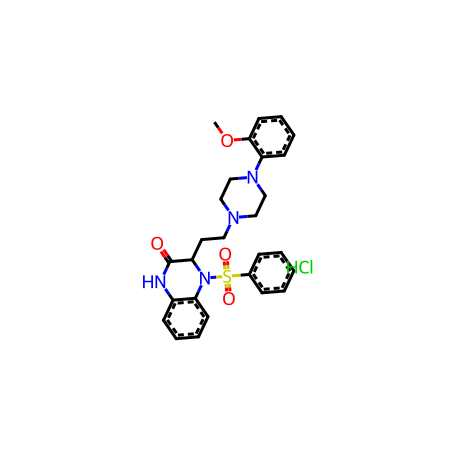 COc1ccccc1N1CCN(CCC2C(=O)Nc3ccccc3N2S(=O)(=O)c2ccccc2)CC1.Cl